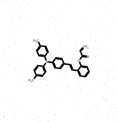 C=CC(=O)Oc1ccccc1/C=C/c1ccc(N(c2ccc(C)cc2)c2ccc(C)cc2)cc1